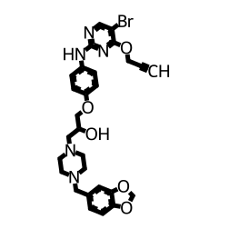 C#CCOc1nc(Nc2ccc(OCC(O)CN3CCN(Cc4ccc5c(c4)OCO5)CC3)cc2)ncc1Br